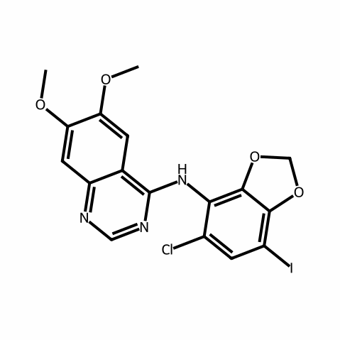 COc1cc2ncnc(Nc3c(Cl)cc(I)c4c3OCO4)c2cc1OC